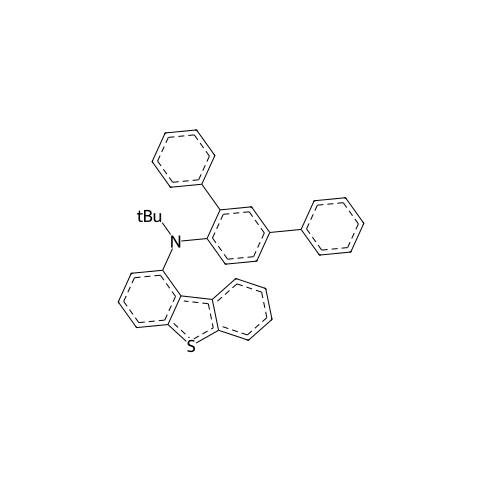 CC(C)(C)N(c1ccc(-c2ccccc2)cc1-c1ccccc1)c1cccc2sc3ccccc3c12